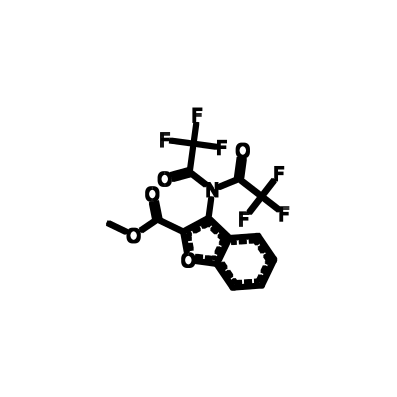 COC(=O)c1oc2ccccc2c1N(C(=O)C(F)(F)F)C(=O)C(F)(F)F